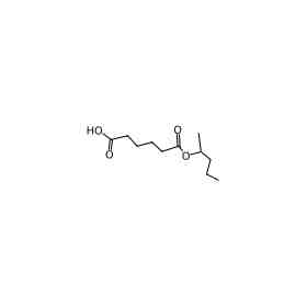 CCCC(C)OC(=O)CCCCC(=O)O